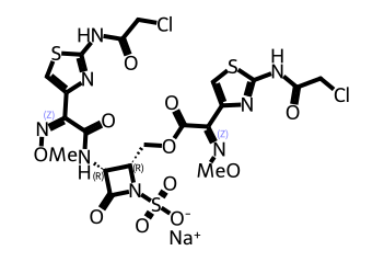 CO/N=C(\C(=O)N[C@H]1C(=O)N(S(=O)(=O)[O-])[C@H]1COC(=O)/C(=N\OC)c1csc(NC(=O)CCl)n1)c1csc(NC(=O)CCl)n1.[Na+]